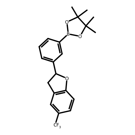 CC1(C)OB(c2cccc(C3Cc4cc(C(F)(F)F)ccc4O3)c2)OC1(C)C